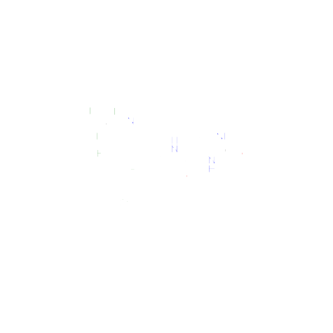 O=C1NC[C@@H](C(=O)N[C@@H](c2cnc(C(F)(F)F)c(F)c2)c2ccc(F)c(Cl)c2F)N1